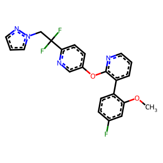 COc1cc(F)ccc1-c1cccnc1Oc1ccc(C(F)(F)Cn2cccn2)nc1